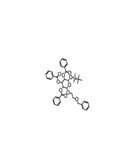 CC(C)(C)[Si](C)(C)OC1OC(OCCOCc2ccccc2)C(OC(=O)c2ccccc2)C(OC(=O)c2ccccc2)C1OC(=O)c1ccccc1